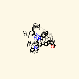 C=C/C=C\C(=C/BC)c1nc(/C(C)=C/c2c(/C=C(\C)c3ccc4c(c3)C(C)(C)c3ccc5ccoc5c3-4)c(C=C)n(-c3ccccc3)c2C)nc(/C(C=C)=C/C=C\BC)n1